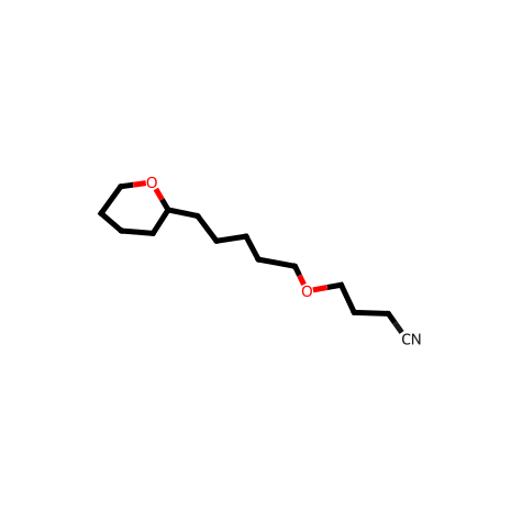 N#CCCCOCCCCCC1CCCCO1